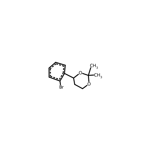 CC1(C)OCCC(c2ccccc2Br)O1